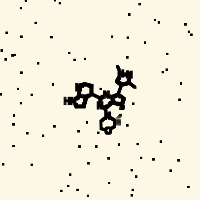 Cc1nn(C)cc1-c1csc2c(N3CCOC[C@H]3C)nc(-c3ccnc4[nH]ccc34)nc12